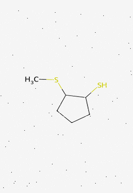 CSC1CCCC1S